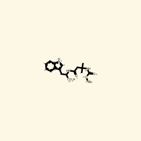 CC(C)(CC(=O)NC(Cc1c[nH]c2ccccc12)C(=O)O)NC(=O)OC(C)(C)C